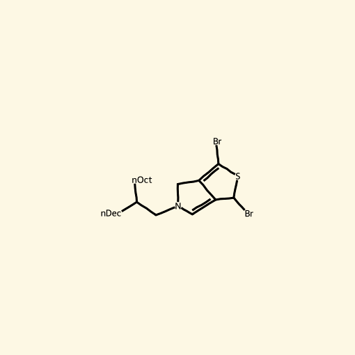 CCCCCCCCCCC(CCCCCCCC)CN1C=C2C(=C(Br)SC2Br)C1